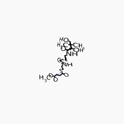 COC(=O)/C=C/C(=O)SCCN[S+]([O-])CCNC(=O)[C@H](O)C(C)(C)CO